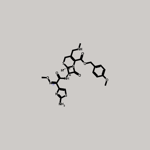 CNCC1=C(C(=O)OCc2ccc(OC)cc2)N2C(=O)[C@@H](NC(=O)/C(=N\OC)c3csc(N)n3)[C@H]2SC1